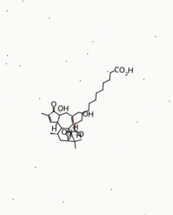 CC1=C[C@H]2[C@@]3(O)[C@H](C)C[C@]4(OC(=O)CCCCCCCCCCCC(=O)O)[C@@H]([C@@H]3C=C(CO)C[C@]2(O)C1=O)C4(C)C